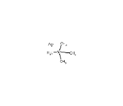 C[Si](C)(C)C.[Ag]